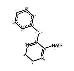 CNC1=NCCN=C1Nc1ccccc1